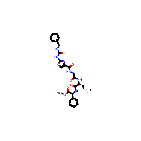 CC(C)(C)OC(=O)C(NC(=O)[C@H](CC(=O)O)NC(=O)CNC(=O)c1csc(NC(=O)NCc2ccccc2)n1)c1ccccc1